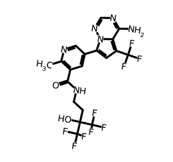 Cc1ncc(-c2cc(C(F)(F)F)c3c(N)ncnn23)cc1C(=O)NCCC(O)(C(F)(F)F)C(F)(F)F